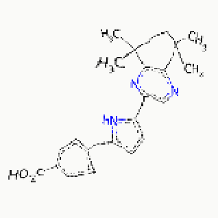 CC1(C)CCC(C)(C)c2nc(-c3ccc(-c4ccc(C(=O)O)cc4)[nH]3)cnc21